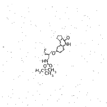 CC(C)(C)OC(=O)NC/C(=C/F)COc1ccc2[nH]c(=O)c3c(c2c1)CCC3